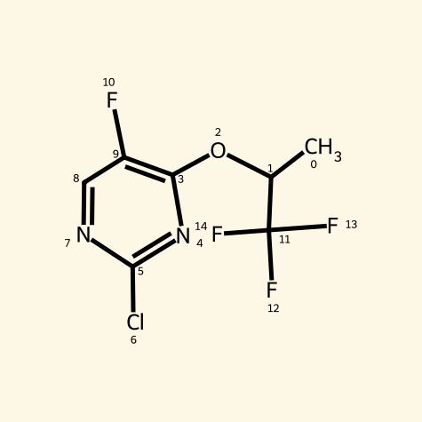 CC(Oc1nc(Cl)ncc1F)C(F)(F)F